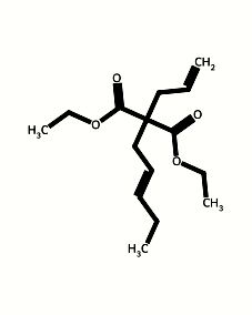 C=CCC(CC=CCC)(C(=O)OCC)C(=O)OCC